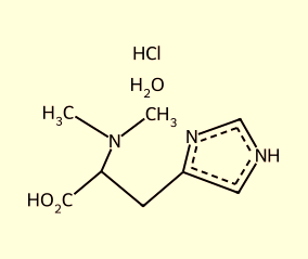 CN(C)C(Cc1c[nH]cn1)C(=O)O.Cl.O